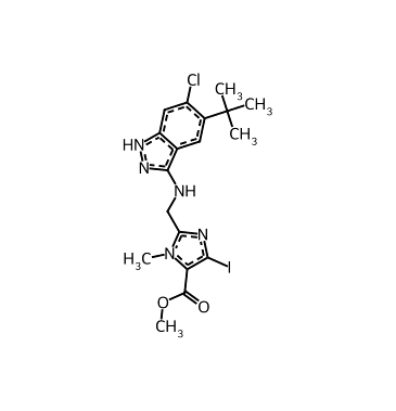 COC(=O)c1c(I)nc(CNc2n[nH]c3cc(Cl)c(C(C)(C)C)cc23)n1C